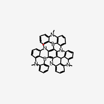 CN1c2ccccc2B2c3c1cccc3N(C)c1c3c(c4c(c12)N(C)c1cccc2c1C4c1ccccc1N2C)N(C)c1cccc2c1B3c1ccccc1N2C